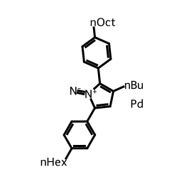 CCCCCCCCc1ccc(C2=C(CCCC)C=C(c3ccc(CCCCCC)cc3)[N+]2=[N-])cc1.[Pd]